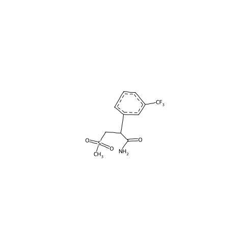 CS(=O)(=O)CC(C(N)=O)c1cccc(C(F)(F)F)c1